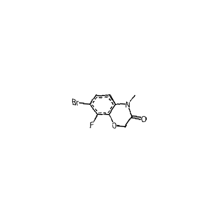 CN1C(=O)COc2c1ccc(Br)c2F